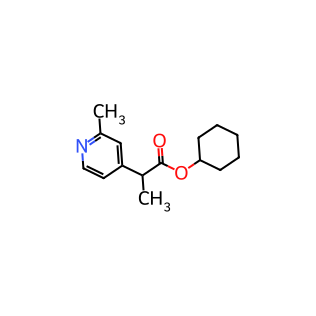 Cc1cc(C(C)C(=O)OC2CCCCC2)ccn1